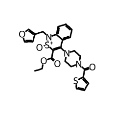 CCOC(=O)C1=C(N2CCN(C(=O)c3cccs3)CC2)c2ccccc2N(Cc2ccoc2)[S+]1[O-]